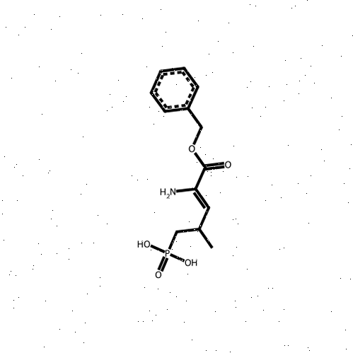 CC(C=C(N)C(=O)OCc1ccccc1)CP(=O)(O)O